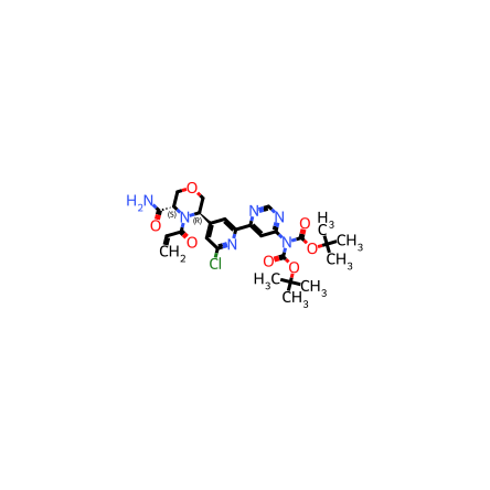 C=CC(=O)N1[C@H](C(N)=O)COC[C@H]1c1cc(Cl)nc(-c2cc(N(C(=O)OC(C)(C)C)C(=O)OC(C)(C)C)ncn2)c1